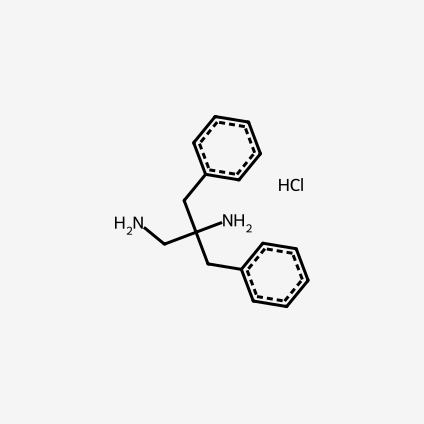 Cl.NCC(N)(Cc1ccccc1)Cc1ccccc1